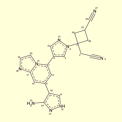 N#CCC1(n2cc(-c3cc(-c4c[nH]nc4N)cc4nccn34)cn2)CC(C#N)C1